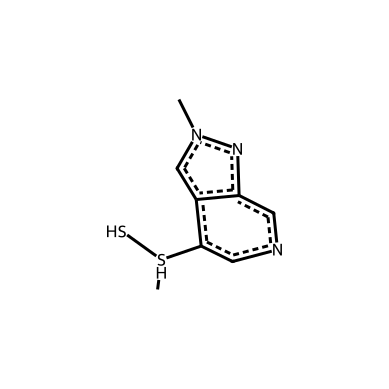 Cn1cc2c([SH](C)S)cncc2n1